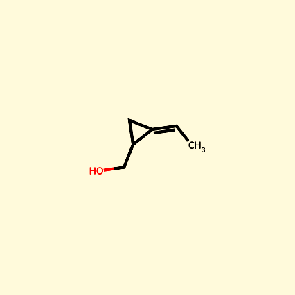 CC=C1CC1CO